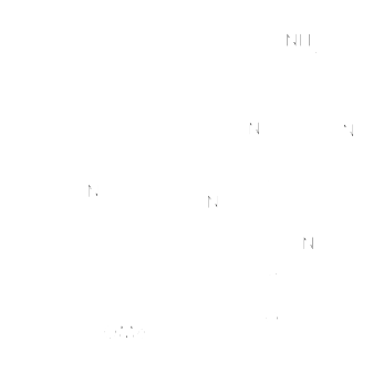 COc1c(C)cnc(CN2CC(=O)N(C)c3cnc(N)nc32)c1C